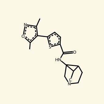 Cc1noc(C)c1-c1ccc(C(=O)NC2CN3CCC2CC3)s1